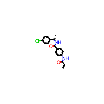 C=CC(=O)Nc1ccc(C(=O)N[C@@H](C)c2ccc(Cl)cc2)cc1